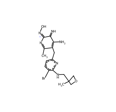 CC1=N/C(=N/O)C(=N)C(N)=C1Cc1ccc(Br)c(NCC2(C)COC2)n1